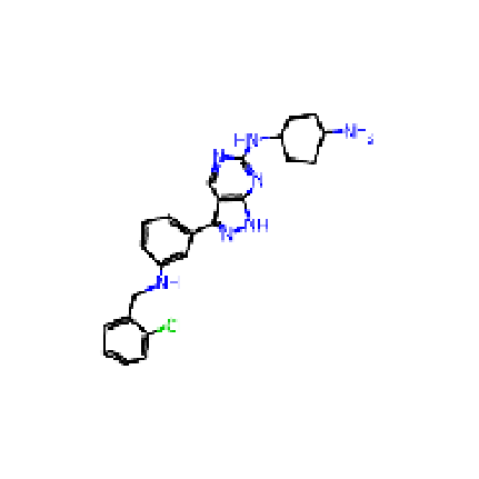 NC1CCC(Nc2ncc3c(-c4cccc(NCc5ccccc5Cl)c4)n[nH]c3n2)CC1